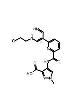 Cn1cc(NC(=O)c2cccc(/C(C=N)=C/NCCCl)n2)c(C(=O)O)n1